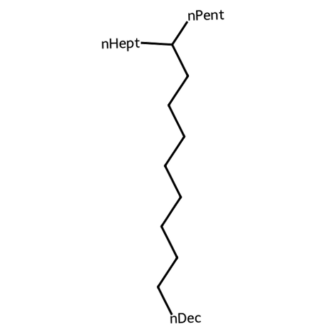 [CH2]CCCCC(CCCCCCC)CCCCCCCCCCCCCCCCCC